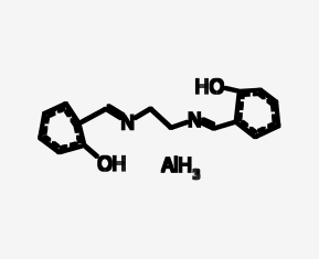 Oc1ccccc1/C=N/CC/N=C/c1ccccc1O.[AlH3]